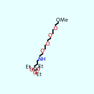 CCO[Si](CCCNCCOCCOCCOCCOCCOC)(OCC)OCC